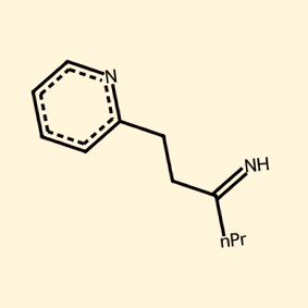 CCCC(=N)CCc1ccccn1